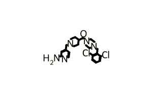 Nc1cc(CN2CCC(C(=O)N3CCN(Cc4c(Cl)cccc4Cl)CC3)CC2)ccn1